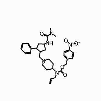 C=CCN(C(=O)OCc1ccc([N+](=O)[O-])cc1)C1CCN(CC2CC(NC(=O)N(C)C)CC2c2ccccc2)CC1